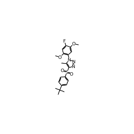 COc1cc(-n2nnc(S(=O)(=O)c3ccc(C(C)(C)C)cc3)c2C)c(OC)cc1F